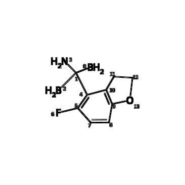 BC(B)(N)c1c(F)ccc2c1CCO2